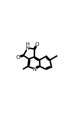 Cc1ccc2nc(C)c3c(c2c1)C(=O)NC3=O